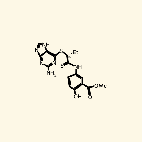 CC[C@@H](Sc1nc(N)nc2nc[nH]c12)C(=S)Nc1ccc(O)c(C(=O)OC)c1